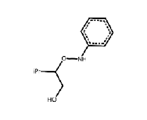 CC(C)C(CO)ONc1ccccc1